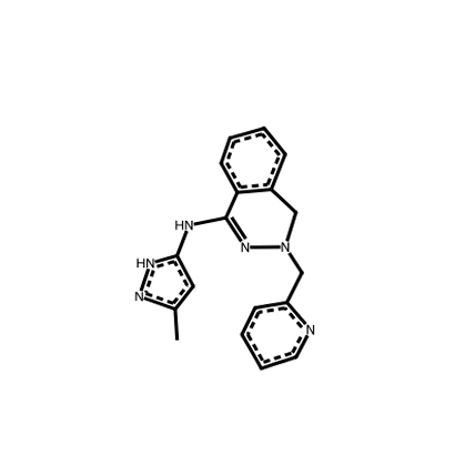 Cc1cc(NC2=NN(Cc3ccccn3)Cc3ccccc32)[nH]n1